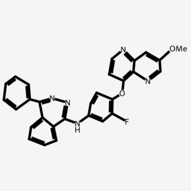 COc1cnc2c(Oc3ccc(Nc4nnc(-c5ccccc5)c5ccccc45)cc3F)ccnc2c1